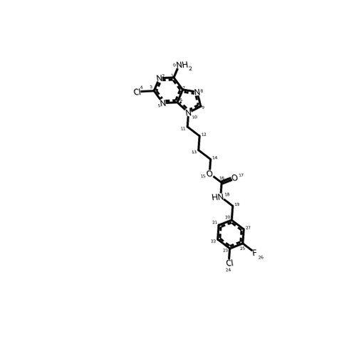 Nc1nc(Cl)nc2c1ncn2CCCCOC(=O)NCc1ccc(Cl)c(F)c1